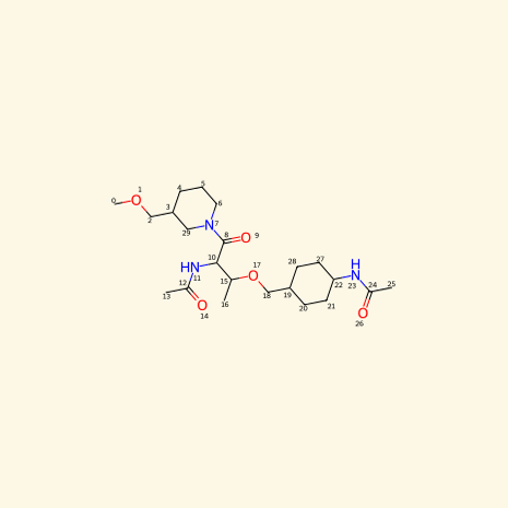 COCC1CCCN(C(=O)C(NC(C)=O)C(C)OCC2CCC(NC(C)=O)CC2)C1